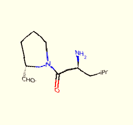 CC(C)C[C@H](N)C(=O)N1CCC[C@H]1[C]=O